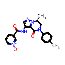 C[C@H]1CN(c2ccc(C(F)(F)F)cc2)C(=O)c2c(NC(=O)c3ccc[n+]([O-])c3)cnn21